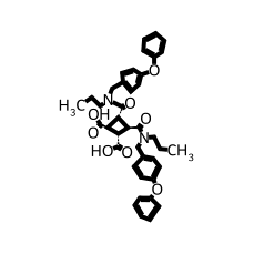 CCCN(Cc1ccc(Oc2ccccc2)cc1)C(=O)[C@H]1[C@H](C(=O)O)[C@@H](C(=O)O)[C@@H]1C(=O)N(CCC)Cc1ccc(Oc2ccccc2)cc1